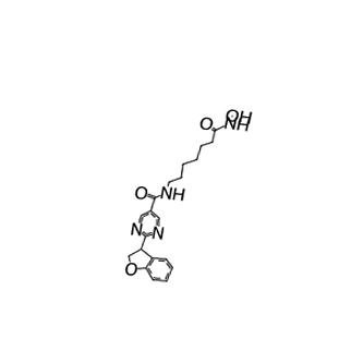 O=C(CCCCCCNC(=O)c1cnc(C2COc3ccccc32)nc1)NO